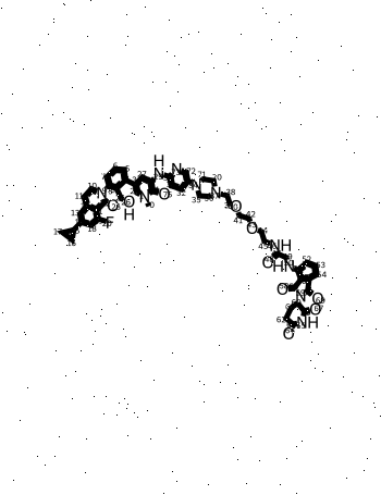 Cn1cc(-c2cccc(-n3ccc4cc(C5CC5)cc(F)c4c3=O)c2CO)cc(Nc2ccc(N3CCN(CCOCCOCCNC(=O)CNc4cccc5c4C(=O)N(C4CCC(=O)NC4=O)C5=O)CC3)cn2)c1=O